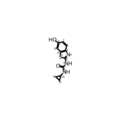 O=C(Nc1nc2ccc(O)cc2s1)NC1CC1